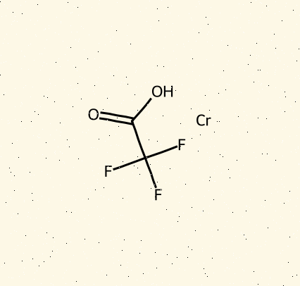 O=C(O)C(F)(F)F.[Cr]